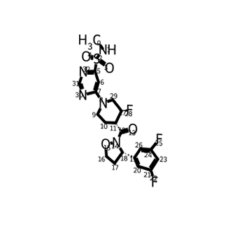 CNS(=O)(=O)c1cc(N2CC[C@@H](C(=O)N3OCC[C@H]3c3cc(F)cc(F)c3)[C@@H](F)C2)ncn1